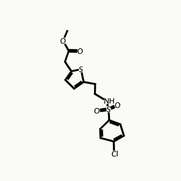 COC(=O)Cc1ccc(CCNS(=O)(=O)c2ccc(Cl)cc2)s1